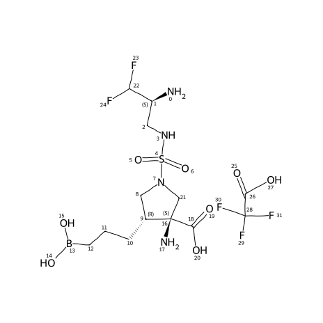 N[C@@H](CNS(=O)(=O)N1C[C@@H](CCCB(O)O)[C@@](N)(C(=O)O)C1)C(F)F.O=C(O)C(F)(F)F